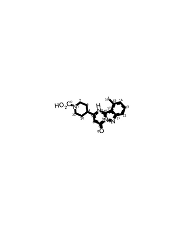 O=C(O)N1CCC(c2cc(=O)n3nc4cccc(I)c4c3[nH]2)CC1